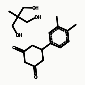 CC(CO)(CO)CO.Cc1ccc(C2CC(=O)CC(=O)C2)cc1C